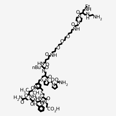 CCCC[C@H](NC(=O)CCC(=O)NCCCOCCOCCOCCCNC(=O)CN1CCN(C(=O)C(CNCC)CNCCN)CC1)C(=O)N=CC(CSCc1cncc(CSC[C@H](NC(=O)[C@H](Cc2ccccc2)NC(=O)[C@H](CCC(N)=O)NC(=O)[C@@H](C)[C@@H](C)O)C(=O)NCCC(=O)O)c1)C(=O)N1CCC[C@H]1C(=O)N1CCC[C@H]1C(N)=O